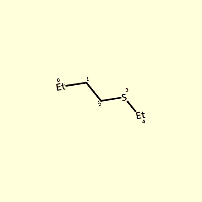 CCC[CH]SCC